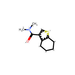 CN(C)C(=O)c1[c]sc2c1CCCC2